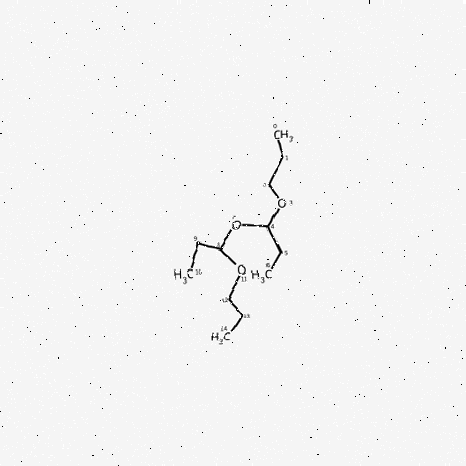 CC[CH]OC(CC)OC(CC)OCCC